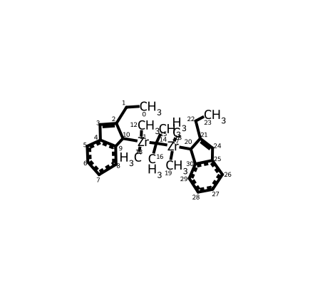 CCC1=Cc2ccccc2[CH]1[Zr]([CH3])([CH3])[C](C)(C)[Zr]([CH3])([CH3])[CH]1C(CC)=Cc2ccccc21